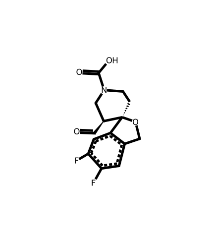 O=C[C@H]1CN(C(=O)O)CC[C@@]12OCc1cc(F)c(F)cc12